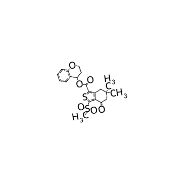 CC1(C)CC(=O)c2c(S(C)(=O)=O)sc(C(=O)OC3CCOc4ccccc43)c2C1